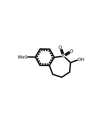 CSc1ccc2c(c1)CCCC(O)S2(=O)=O